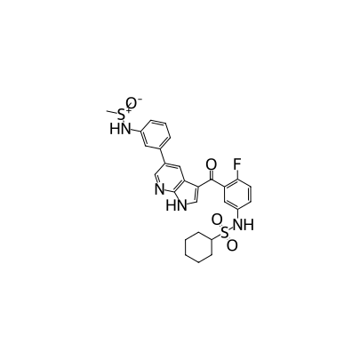 C[S+]([O-])Nc1cccc(-c2cnc3[nH]cc(C(=O)c4cc(NS(=O)(=O)C5CCCCC5)ccc4F)c3c2)c1